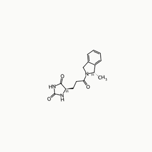 C[C@H]1c2ccccc2CN1C(=O)CC[C@H]1NC(=O)NC1=O